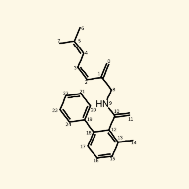 C=C(/C=C\C=C(C)C)CNC(=C)c1c(C)cccc1-c1ccccc1